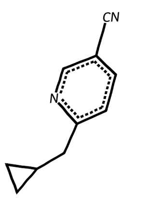 N#Cc1ccc(CC2CC2)nc1